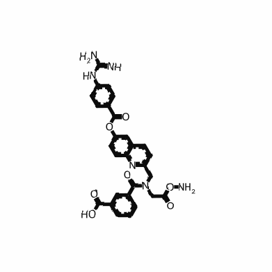 N=C(N)Nc1ccc(C(=O)Oc2ccc3nc(CN(CC(=O)ON)C(=O)c4cccc(C(=O)O)c4)ccc3c2)cc1